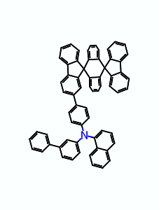 c1ccc(-c2cccc(N(c3ccc(-c4ccc5c(c4)C4(c6ccccc6-5)c5ccccc5C5(c6ccccc6-c6ccccc65)c5ccccc54)cc3)c3cccc4ccccc34)c2)cc1